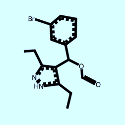 CCc1n[nH]c(CC)c1C(OC=O)c1cccc(Br)c1